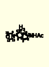 CC(=O)Nc1ccc(CC(=S)N2CCOCC2)c(C)c1